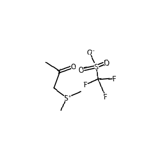 CC(=O)C[S+](C)C.O=S(=O)([O-])C(F)(F)F